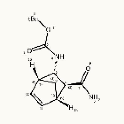 CC(C)(C)OC(=O)N[C@@H]1[C@@H](C(N)=O)[C@@H]2C=C[C@H]1C2